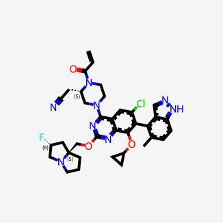 C=CC(=O)N1CCN(c2nc(OC[C@@]34CCCN3C[C@H](F)C4)nc3c(OC4CC4)c(-c4c(C)ccc5[nH]ncc45)c(Cl)cc23)C[C@@H]1CC#N